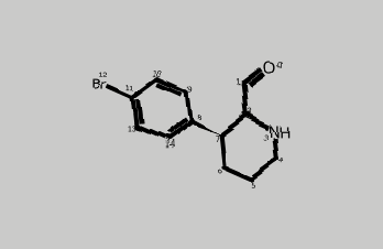 O=CC1NCCC[C@H]1c1ccc(Br)cc1